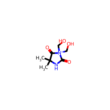 CC1(C)NC(=O)[N+](CO)(CO)C1=O